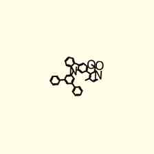 Cc1ccnc2c(=O)oc3cc4c5ccccc5n(-c5cc(-c6ccccc6)cc(-c6ccccc6)c5)c4cc3c12